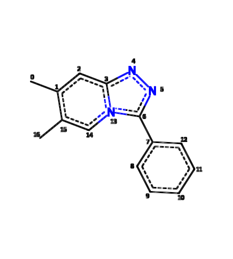 Cc1cc2nnc(-c3ccccc3)n2cc1C